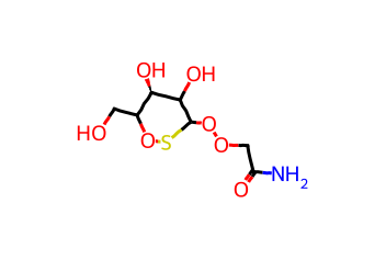 NC(=O)COOC1SOC(CO)[C@@H](O)C1O